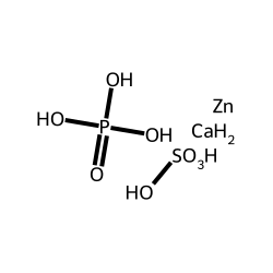 O=P(O)(O)O.O=S(=O)(O)O.[CaH2].[Zn]